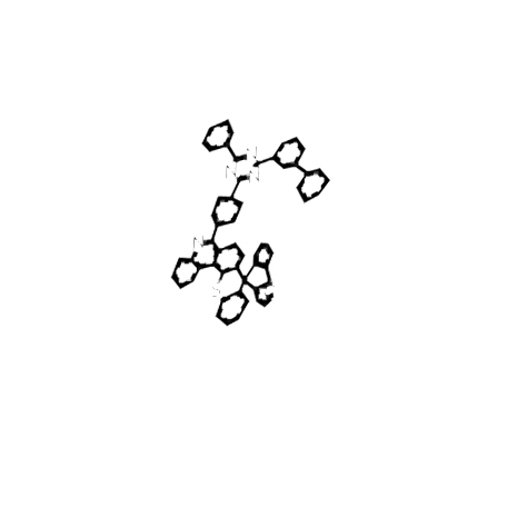 c1ccc(-c2cccc(-c3nc(-c4ccccc4)nc(-c4ccc(-c5nc6ccccc6c6c7c(ccc56)C5(c6ccccc6S7)c6ccccc6-c6ccccc65)cc4)n3)c2)cc1